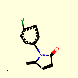 C=C1C=CC(=O)N1c1ccc(Cl)cc1